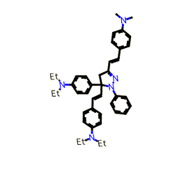 CCN(CC)c1ccc(C=CC2(c3ccc(N(CC)CC)cc3)CC(C=Cc3ccc(N(C)C)cc3)=NN2c2ccccc2)cc1